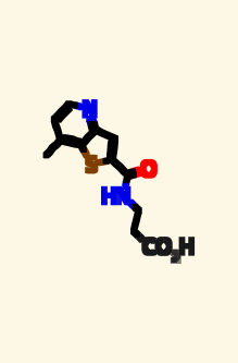 Cc1ccnc2cc(C(=O)NCCC(=O)O)sc12